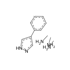 CN.CN.CN.[c]1cccc(-c2cn[nH]c2)c1